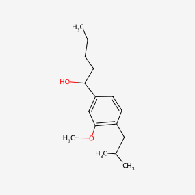 CCCCC(O)c1ccc(CC(C)C)c(OC)c1